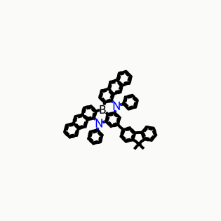 CC1(C)c2ccccc2-c2cc(-c3cc4c5c(c3)N(c3ccccc3)c3c(ccc6cc7ccccc7cc36)B5c3ccc5cc6ccccc6cc5c3N4c3ccccc3)ccc21